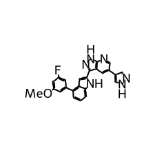 COc1cc(F)cc(-c2cccc3[nH]c(-c4n[nH]c5ncc(-c6cn[nH]c6)cc45)cc23)c1